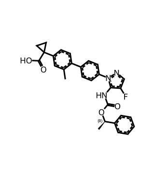 Cc1cc(C2(C(=O)O)CC2)ccc1-c1ccc(-n2ncc(F)c2NC(=O)O[C@H](C)c2ccccc2)cc1